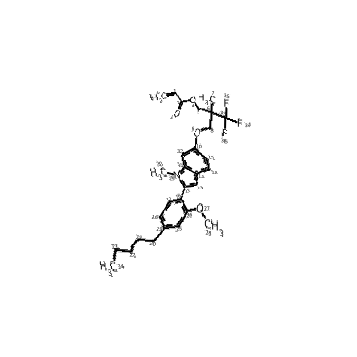 C=CC(=O)OCC(C)(COc1ccc2cc(-c3ccc(CCCCC)cc3OC)n(C)c2c1)C(F)(F)F